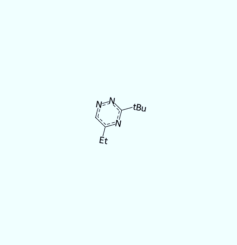 CCc1cnnc(C(C)(C)C)n1